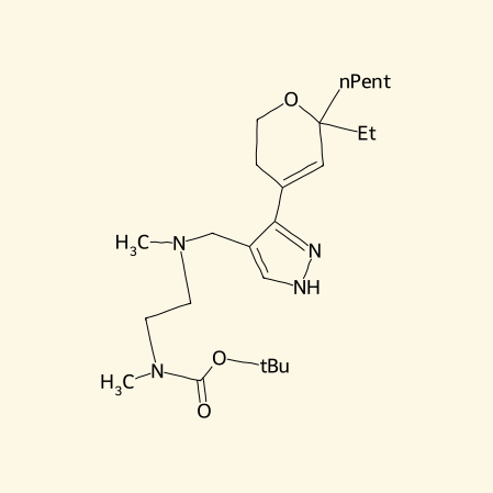 CCCCCC1(CC)C=C(c2n[nH]cc2CN(C)CCN(C)C(=O)OC(C)(C)C)CCO1